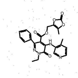 CCn1nc(-c2ccccc2)c(C(=O)OCc2oc(=O)oc2C)c(Nc2cnccc2C)c1=O